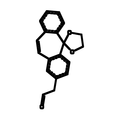 O=CCc1ccc2c(c1)C=Cc1ccccc1C21OCCO1